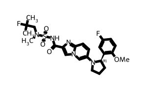 COc1ccc(F)cc1[C@H]1CCCN1c1ccc2nc(C(=O)NS(=O)(=O)N(C)CC(C)(C)F)cn2c1